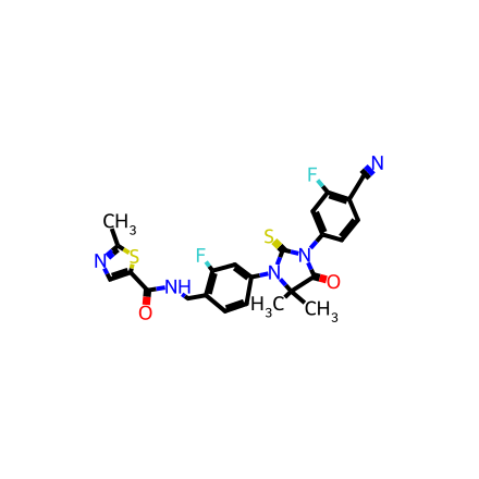 Cc1ncc(C(=O)NCc2ccc(N3C(=S)N(c4ccc(C#N)c(F)c4)C(=O)C3(C)C)cc2F)s1